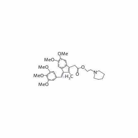 COc1cc2c(cc1OC)/C(=C\c1cc(OC)c(OC)c(OC)c1)C(C)=C2CC(=O)OCCN1CCCCC1